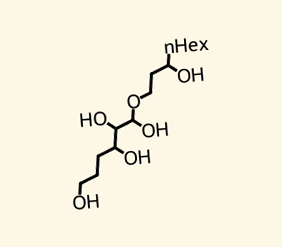 CCCCCCC(O)CCOC(O)C(O)C(O)CCCO